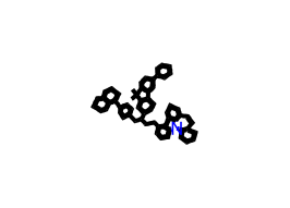 CC1(C)c2ccc(-c3ccccc3)cc2-c2ccc(C(CCc3cccc4c3c3cccc5c3n4-c3ccccc3C=C5)Cc3ccc(-c4cccc5ccccc45)cc3)cc21